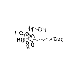 CCCCCCCCCCCCCCCCC(=O)C(O)(C(O)CO)P(=O)=O.C[N+](C)(C)CCO